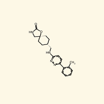 Cc1ccccc1-c1ccc(NC[C@H]2CC[C@]3(CC2)CNC(=O)O3)nn1